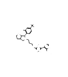 Cc1ncoc1-c1nnc(SCCCN2CC3CCNC3C2c2ccc(C(F)(F)F)cc2F)n1C